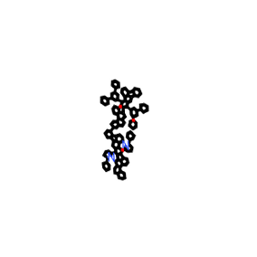 c1ccc(-c2cc(-c3ccccc3)cc(-c3c4cc5c6ccccc6c6cccc(c4c(-c4cc(-c7ccccc7)cc(-c7ccccc7)c4)c4c7cccc8c9c(ccc%10cc(-c%11cccc%12c%13cc%14c(-c%15cccc(-c%16ccccc%16)n%15)c%15c%16cc%17ccc%18ccccc%18c%17c%17cccc(c%15c(-c%15cccc(-c%18ccccc%18)n%15)c%14c%14cccc(c%11%12)c%13%14)c%16%17)ccc%109)cc(c34)c78)c65)c2)cc1